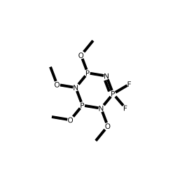 CON1P(OC)N=P(F)(F)N(OC)P1OC